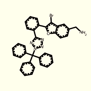 NCc1ccc2oc(-c3ccccc3-c3nnn(C(c4ccccc4)(c4ccccc4)c4ccccc4)n3)c(Br)c2c1